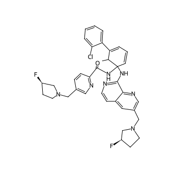 CC1C(c2ccccc2Cl)=CC=CC1(NC(=O)c1ccc(CN2CC[C@@H](F)C2)cn1)Nc1nccc2cc(CN3CC[C@@H](F)C3)cnc12